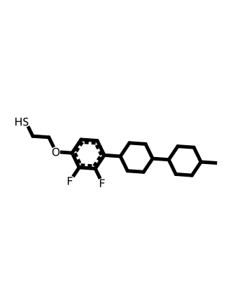 CC1CCC(C2CCC(c3ccc(OCCS)c(F)c3F)CC2)CC1